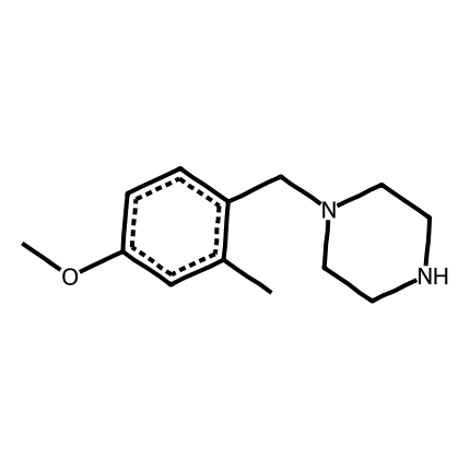 COc1ccc(CN2CCNCC2)c(C)c1